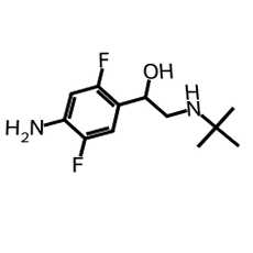 CC(C)(C)NCC(O)c1cc(F)c(N)cc1F